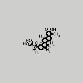 CC1=C(O)C(=O)C=C2C1=CC=C1[C@@]2(C)CC[C@@]2(C)[C@@H]3C[C@](C)(C(=O)NC(CO)CO)CC[C@]3(C)CC[C@]12C